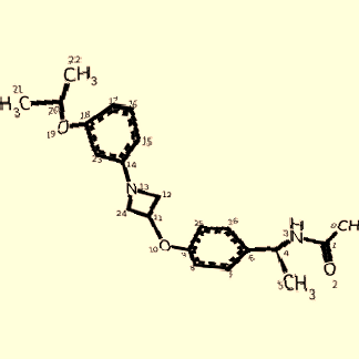 CC(=O)N[C@@H](C)c1ccc(OC2CN(c3cccc(OC(C)C)c3)C2)cc1